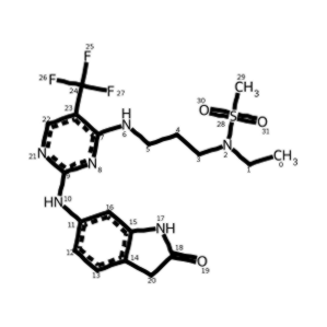 CCN(CCCNc1nc(Nc2ccc3c(c2)NC(=O)C3)ncc1C(F)(F)F)S(C)(=O)=O